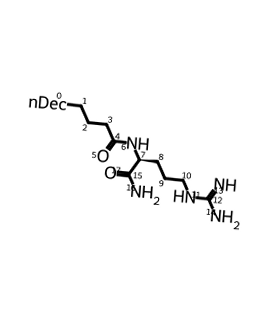 CCCCCCCCCCCCCC(=O)N[C@@H](CCCNC(=N)N)C(N)=O